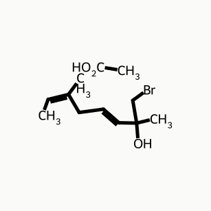 CC(=O)O.CC=C(C)CC=CC(C)(O)CBr